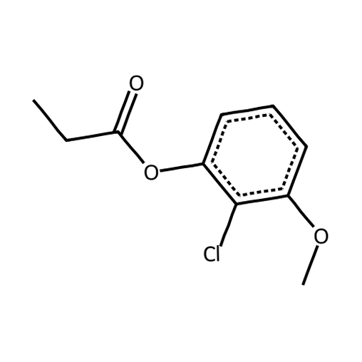 CCC(=O)Oc1cccc(OC)c1Cl